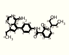 CCc1cc(-c2ccc(NC(=O)c3cccn(C(CC)CO)c3=O)cc2)c2c(N)ncnn12